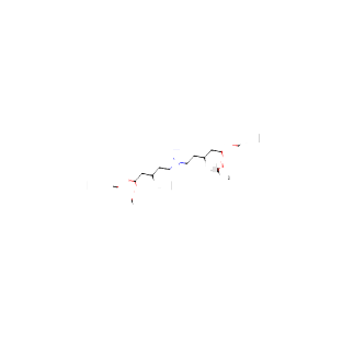 CCOC(CC([SiH3])CCNCCC([SiH3])CC(OCC)OCC)OCC